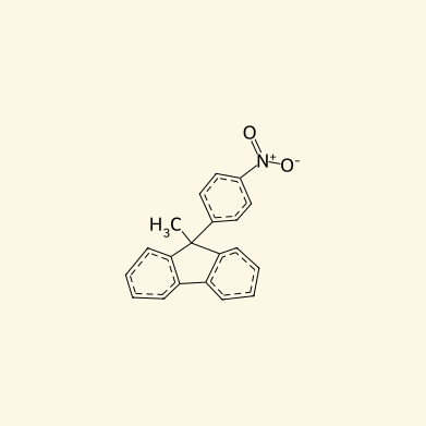 CC1(c2ccc([N+](=O)[O-])cc2)c2ccccc2-c2ccccc21